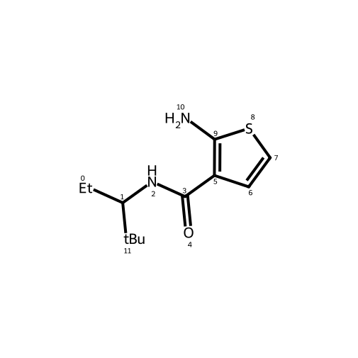 CCC(NC(=O)c1ccsc1N)C(C)(C)C